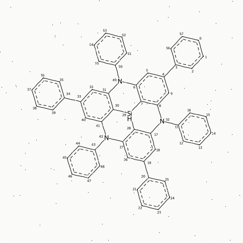 c1ccc(-c2cc3c4c(c2)N(c2ccccc2)c2cc(-c5ccccc5)cc5c2[SiH]4c2c(cc(-c4ccccc4)cc2N5c2ccccc2)N3c2ccccc2)cc1